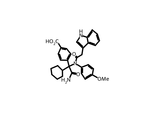 COc1ccc(N(C(=O)Cc2c[nH]c3ccccc23)C(C(N)=O)(c2ccc(C(=O)O)cc2)C2CCCCC2)cc1